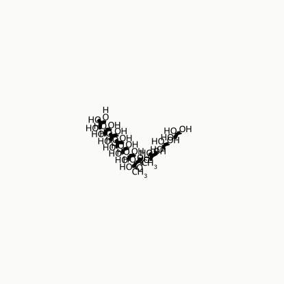 CCOCC.OCC(O)CO.OCC(O)CO.OCC(O)CO.OCC(O)CO.OCC(O)CO.OCC(O)CO.OCC(O)CO.OCC(O)CO.OCC(O)CO.OCC(O)CO